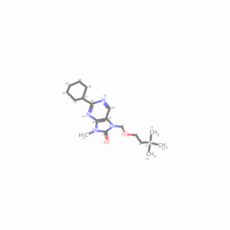 Cn1c(=O)n(COCC[Si](C)(C)C)c2cnc(C3CCCCC3)nc21